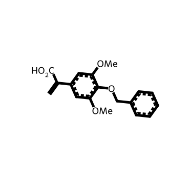 C=C(C(=O)O)c1cc(OC)c(OCc2ccccc2)c(OC)c1